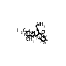 Cc1cn2nc(-c3nc4ccccn4c(=O)c3C#CCN)cc2c(C)n1